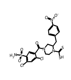 NS(=O)(=O)c1cc(C(=O)N2CCN(C(=S)S)C(Cc3ccc([N+](=O)[O-])cc3)C2)c(Cl)cc1Cl